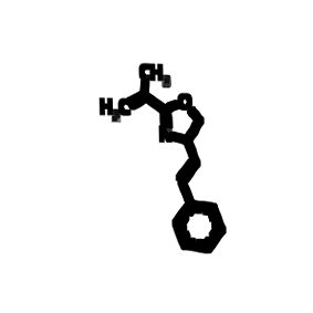 C=C(C)C1=NC(C=Cc2ccccc2)CO1